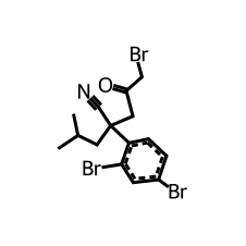 CC(C)CC(C#N)(CC(=O)CBr)c1ccc(Br)cc1Br